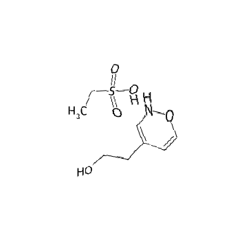 CCS(=O)(=O)O.OCCC1=CNOC=C1